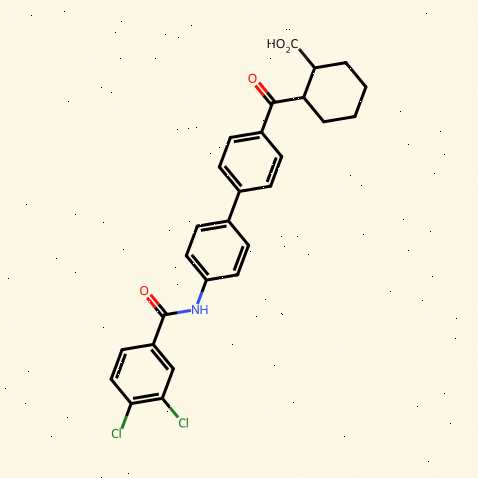 O=C(Nc1ccc(-c2ccc(C(=O)C3CCCCC3C(=O)O)cc2)cc1)c1ccc(Cl)c(Cl)c1